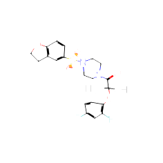 CC(C)(Oc1ccc(F)cc1F)C(=O)N1CCN(S(=O)(=O)c2ccc3c(c2)CCO3)CC1